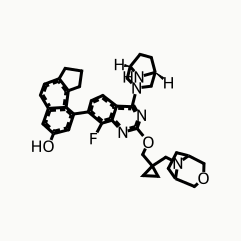 Oc1cc(-c2ccc3c(N4C[C@H]5CC[C@@H](C4)N5)nc(OCC4(CN5C6CCC5COC6)CC4)nc3c2F)c2c3c(ccc2c1)CCC3